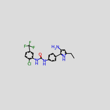 CCc1cc(N)c(-c2ccc(NC(=O)Nc3cc(C(F)(F)F)ccc3Cl)cc2)[nH]1